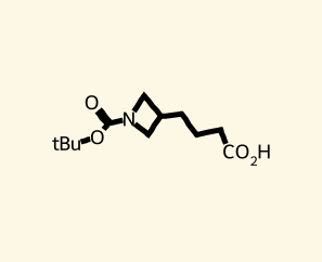 CC(C)(C)OC(=O)N1CC(CCCC(=O)O)C1